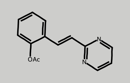 CC(=O)Oc1ccccc1C=Cc1ncccn1